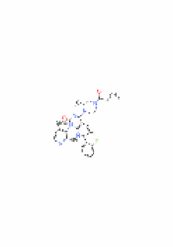 C=CC(=O)N1CCN(c2nc(=O)n(-c3c(SC)ccnc3C(C)C)c3nc(-c4ccccc4F)c(F)cc23)[C@@H](C)C1